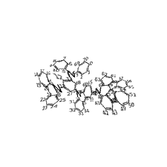 c1ccc(N(c2ccccc2)c2cc(-n3c4ccccc4c4ccccc43)cc(-n3c4ccccc4c4cc(N5c6ccccc6C(c6ccccc6)(c6ccccc6)c6ccccc65)ccc43)c2)cc1